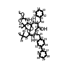 COC(=O)N[C@H](C(=O)N[C@@H](Cc1ccccc1)[C@@H](O)CN(Cc1ccc(-c2ccccn2)cc1)NC(=O)CC(C)(C)C)C(C)(C)C